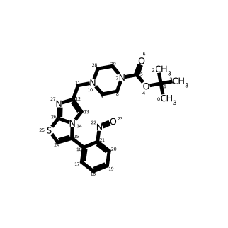 CC(C)(C)OC(=O)N1CCN(Cc2cn3c(-c4ccccc4N=O)csc3n2)CC1